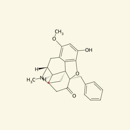 COc1cc(O)c2c3c1C[C@@H]1[C@@H]4CCC(=O)[C@](Cc5ccccc5)(O2)[C@]34CCN1C